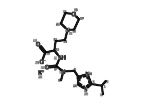 CC(C)c1nc(CN(C)C(=O)NC(CCN2CCOCC2)C(=O)[O-])cs1.[K+]